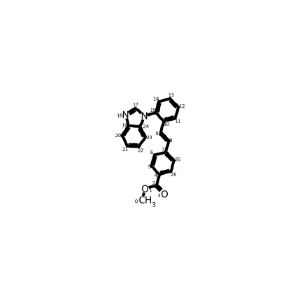 COC(=O)c1ccc(C=Cc2ccccc2-n2cnc3ccccc32)cc1